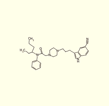 CCCC(CC)N(C(=O)CN1CCN(CCCc2c[nH]c3ccc(C#N)cc23)CC1)c1ccccc1